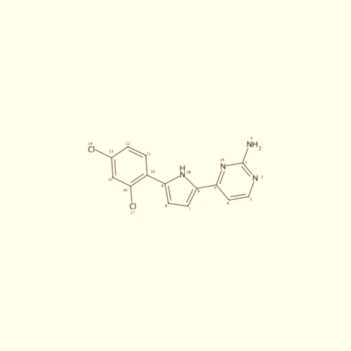 Nc1nccc(-c2ccc(-c3ccc(Cl)cc3Cl)[nH]2)n1